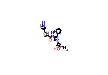 CC1(O)CC(n2cc(NC(=O)c3csc(-c4cn[nH]c4)n3)c(-c3ccccn3)n2)C1